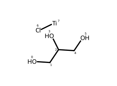 OCC(O)CO.[Cl][Ti]